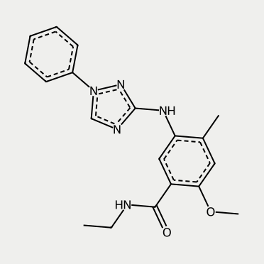 CCNC(=O)c1cc(Nc2ncn(-c3ccccc3)n2)c(C)cc1OC